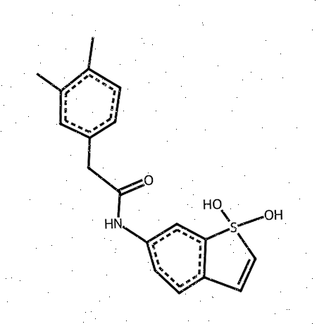 Cc1ccc(CC(=O)Nc2ccc3c(c2)S(O)(O)C=C3)cc1C